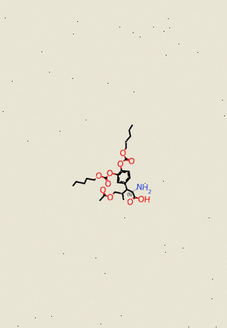 CCCCCOC(=O)Oc1ccc(C(C(C)COC(C)=O)[C@H](N)C(=O)O)cc1OC(=O)OCCCCC